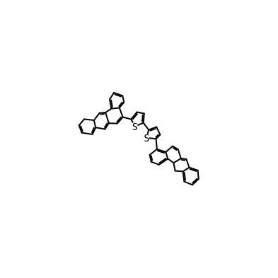 C1=CCC2C=c3c(cc(-c4ccc(-c5ccc(-c6cccc7c6C=CC6=Cc8ccccc8CC67)s5)s4)c4ccccc34)=CC2=C1